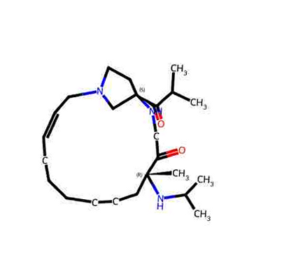 CC(C)N[C@]1(C)CCCCCCC=CCN2CC[C@@](C(=O)C(C)C)(C2)NCC1=O